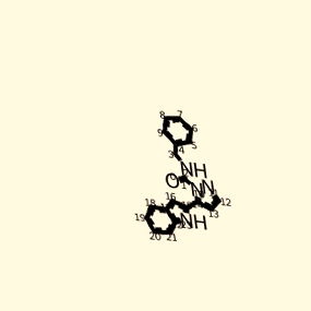 O=C(NCc1ccccc1)n1nccc1-c1cc2ccccc2[nH]1